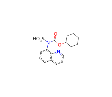 O=C(OC1CCCCC1)N(c1cccc2cccnc12)S(=O)(=O)O